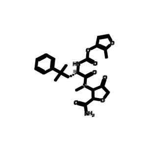 Cc1occc1OC(=O)N[C@@H](CC(C)(C)c1ccccc1)C(=O)N(C)C1C(=O)COC1C(N)=O